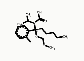 CCCCC[C@@](OCOC)(c1ccccc1I)N(C(=O)O)C(C)C